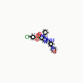 O=c1c(S(=O)(=O)c2ccc(Cl)cc2)cc2cnc(Nc3ccc(N4CCOCC4)cc3)nc2n1C1CCCCC1